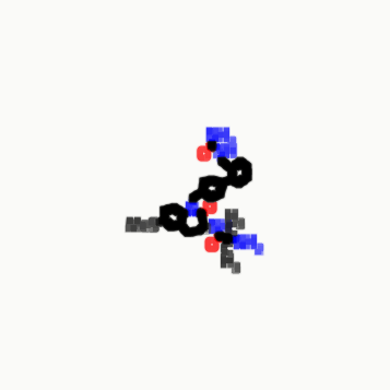 CSc1ccc2c(c1)CC[C@@H](NC(=O)C(C)(C)N)C(=O)N2Cc1ccc(-c2ccccc2CNC(N)=O)cc1